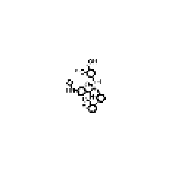 Cc1cccc(F)c1C(=O)N1c2ccccc2C[C@H](C(=O)Nc2ccc(CO)c(C(F)(F)F)c2)C1c1ccc(NC2CCC2)cc1